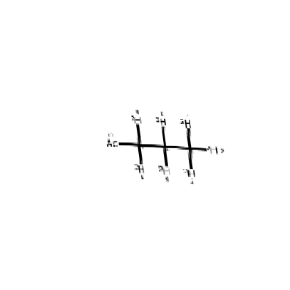 [2H]C([2H])([2H])C([2H])([2H])C([2H])([2H])C(C)=O